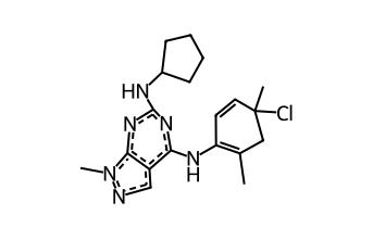 CC1=C(Nc2nc(NC3CCCC3)nc3c2cnn3C)C=CC(C)(Cl)C1